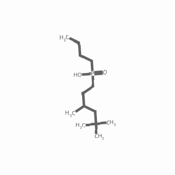 CCCCP(=O)(O)CCC(C)CC(C)(C)C